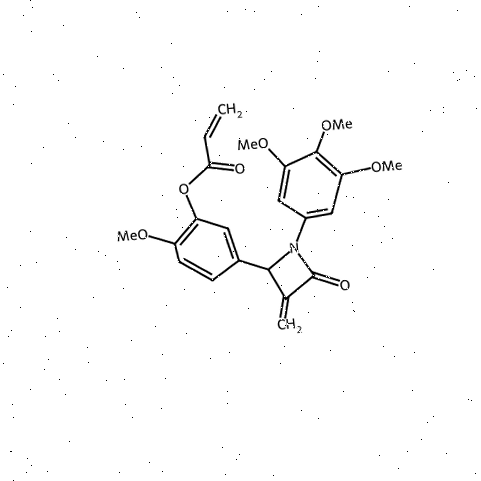 C=CC(=O)Oc1cc(C2C(=C)C(=O)N2c2cc(OC)c(OC)c(OC)c2)ccc1OC